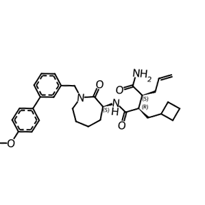 C=CC[C@H](C(N)=O)[C@@H](CC1CCC1)C(=O)N[C@H]1CCCCN(Cc2cccc(-c3ccc(OC)cc3)c2)C1=O